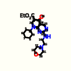 CCOC(=O)c1cn(C2CCCCC2)c2nc(NCCN3CCOCC3)ncc2c1=O